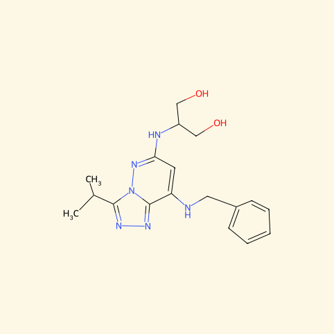 CC(C)c1nnc2c(NCc3ccccc3)cc(NC(CO)CO)nn12